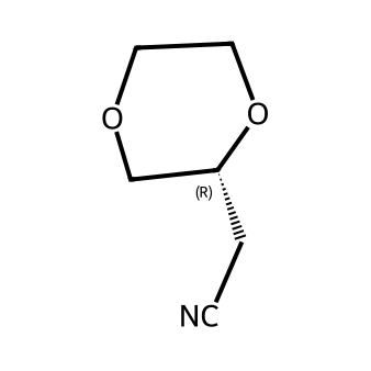 N#CC[C@@H]1COCCO1